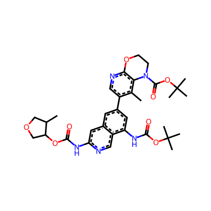 Cc1c(-c2cc(NC(=O)OC(C)(C)C)c3cnc(NC(=O)OC4COCC4C)cc3c2)cnc2c1N(C(=O)OC(C)(C)C)CCO2